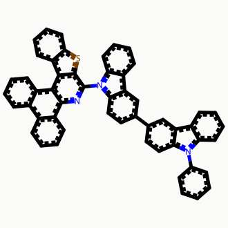 c1ccc(-n2c3ccccc3c3cc(-c4ccc5c(c4)c4ccccc4n5-c4nc5c6ccccc6c6ccccc6c5c5c4sc4ccccc45)ccc32)cc1